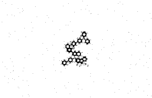 CC1(C)c2ccccc2-c2cc(N(c3ccc(-c4ccccc4)cc3)c3cc(-c4ccc5cccc6c5c4Oc4cc(-c5ccc(N(c7ccccc7)c7ccccc7)cc5)ccc4-6)cc4ccccc34)ccc21